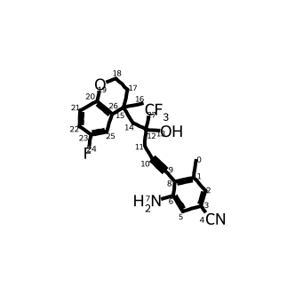 Cc1cc(C#N)cc(N)c1C#CCC(O)(CC1(C)CCOc2ccc(F)cc21)C(F)(F)F